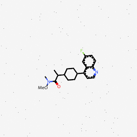 CON(C)C(=O)C(C)C1CCC(c2ccnc3ccc(F)cc23)CC1